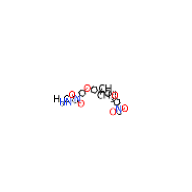 CNC1CC(=O)N(c2ccc(Oc3ccc(C(C)(C)c4ccc(Oc5ccc(N6C(=O)C=CC6=O)cc5)cc4)cc3)cc2)C1=O